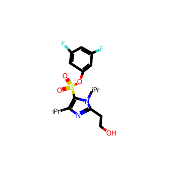 CC(C)c1nc(CCO)n(C(C)C)c1S(=O)(=O)Oc1cc(F)cc(F)c1